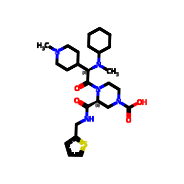 CN1CCC([C@H](C(=O)N2CCN(C(=O)O)C[C@H]2C(=O)NCc2cccs2)N(C)C2CCCCC2)CC1